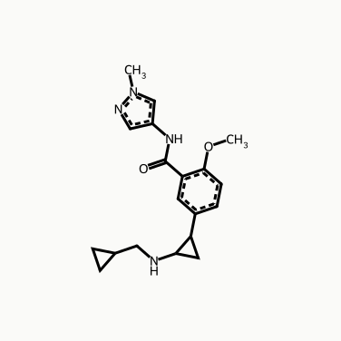 COc1ccc(C2CC2NCC2CC2)cc1C(=O)Nc1cnn(C)c1